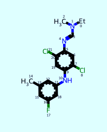 CCN(C)C=Nc1cc(Cl)c(Nc2cc(C)cc(F)c2)cc1Cl